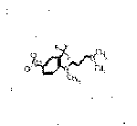 CN(C)CCCN(C)c1ccc([N+](=O)[O-])cc1C(F)(F)F